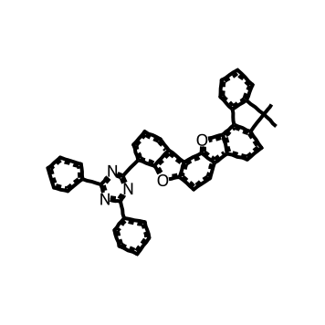 CC1(C)c2ccccc2-c2c1ccc1c2oc2c1ccc1oc3c(-c4nc(-c5ccccc5)nc(-c5ccccc5)n4)cccc3c12